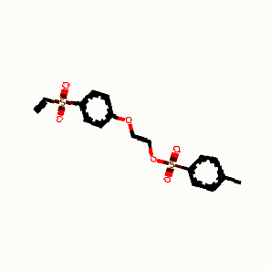 C=CS(=O)(=O)c1ccc(OCCOS(=O)(=O)c2ccc(C)cc2)cc1